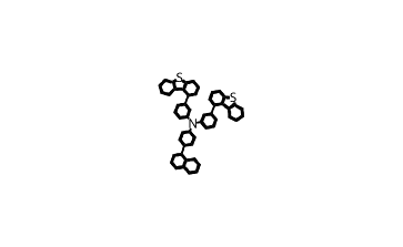 c1cc(-c2cccc3sc4ccccc4c23)cc(N(c2ccc(-c3cccc4ccccc34)cc2)c2cccc(-c3cccc4sc5ccccc5c34)c2)c1